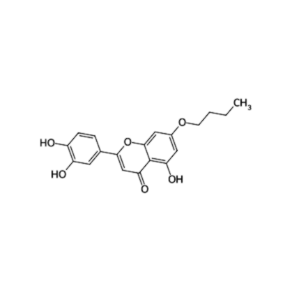 CCCCOc1cc(O)c2c(=O)cc(-c3ccc(O)c(O)c3)oc2c1